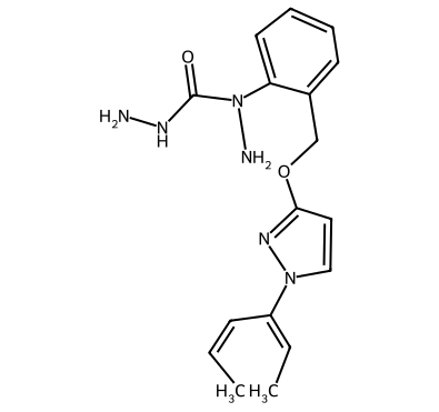 C/C=C\C(=C/C)n1ccc(OCc2ccccc2N(N)C(=O)NN)n1